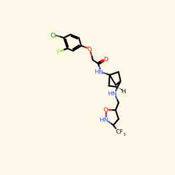 O=C(COc1ccc(Cl)c(F)c1)NC12CC(C1)[C@@H](NCC1CC(C(F)(F)F)NO1)C2